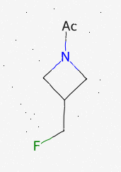 CC(=O)N1CC(CF)C1